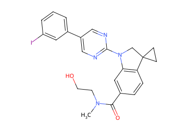 CN(CCO)C(=O)c1ccc2c(c1)N(c1ncc(-c3cccc(I)c3)cn1)CC21CC1